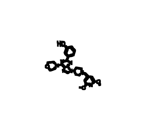 COc1cc(CN2CCC(n3cnc4c(N5CCOCC5)nc(-c5cccc(O)c5)nc43)CC2)cc(OC)n1